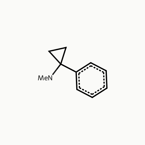 CNC1(c2ccccc2)CC1